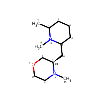 CC1CCCC(C[C@@H]2COCCN2C)N1C